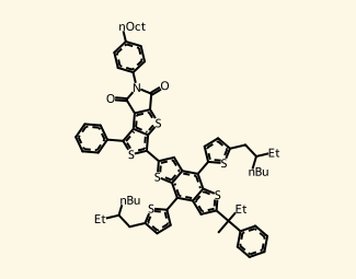 CCCCCCCCc1ccc(N2C(=O)c3sc4c(-c5cc6c(-c7ccc(CC(CC)CCCC)s7)c7sc(C(C)(CC)c8ccccc8)cc7c(-c7ccc(CC(CC)CCCC)s7)c6s5)sc(-c5ccccc5)c4c3C2=O)cc1